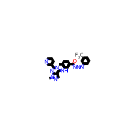 Cc1ccc(C(=O)N=[N+]=Nc2cccc(C(F)(F)F)c2)cc1Nc1nc(-c2cccnc2)nc2c1cnn2C